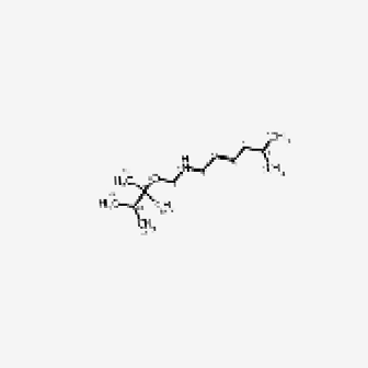 CC(C)C/C=C/CNCOC(C)(C)C(C)C